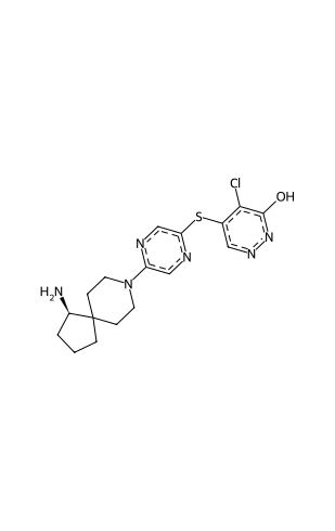 N[C@@H]1CCCC12CCN(c1cnc(Sc3cnnc(O)c3Cl)cn1)CC2